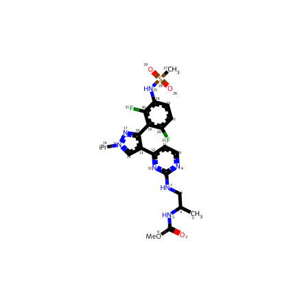 COC(=O)NC(C)CNc1nccc(-c2cn(C(C)C)nc2-c2c(F)ccc(NS(C)(=O)=O)c2F)n1